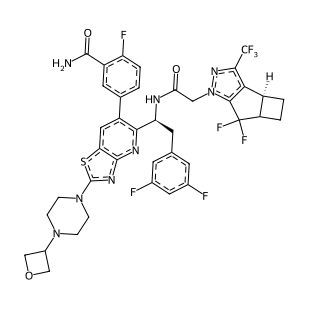 NC(=O)c1cc(-c2cc3sc(N4CCN(C5COC5)CC4)nc3nc2[C@H](Cc2cc(F)cc(F)c2)NC(=O)Cn2nc(C(F)(F)F)c3c2C(F)(F)C2CC[C@H]32)ccc1F